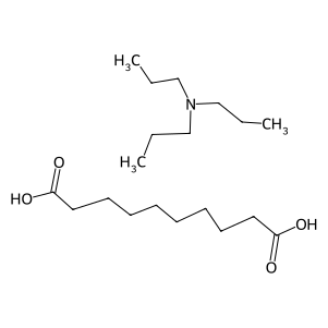 CCCN(CCC)CCC.O=C(O)CCCCCCCCC(=O)O